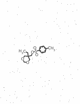 CCC1(COS(=O)(=O)c2ccc(C)cc2)COCOC1